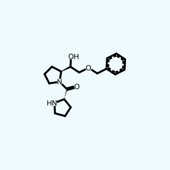 O=C([C@@H]1CCCN1)N1CCC[C@H]1C(O)COCc1ccccc1